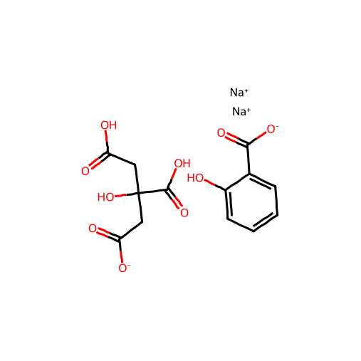 O=C([O-])CC(O)(CC(=O)O)C(=O)O.O=C([O-])c1ccccc1O.[Na+].[Na+]